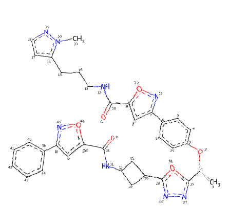 C[C@@H](Oc1ccc(-c2cc(C(=O)NCCCc3ccnn3C)on2)cc1)c1nnc(C2CC(NC(=O)c3cc(-c4ccccc4)no3)C2)o1